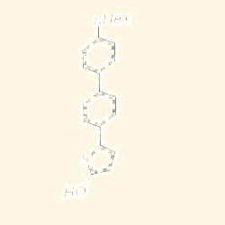 CCCCCCc1ccc(-c2ccc(-c3ccc(O)s3)cc2)cc1